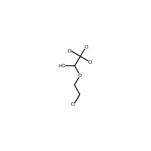 OC(OCCCl)C(Cl)(Cl)Cl